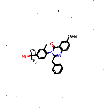 COc1ccc2nc(Cc3ccccc3)n(-c3ccc(C(O)(C(F)(F)F)C(F)(F)F)cc3C)c(=O)c2c1